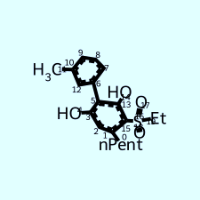 CCCCCc1cc(O)c(-c2cccc(C)c2)c(O)c1S(=O)(=O)CC